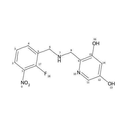 O=[N+]([O-])c1cccc(CNCc2ncc(O)cc2O)c1F